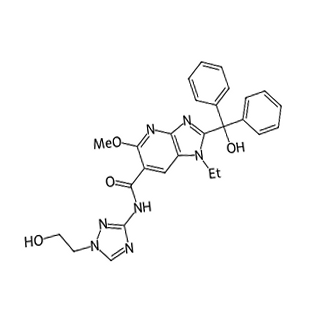 CCn1c(C(O)(c2ccccc2)c2ccccc2)nc2nc(OC)c(C(=O)Nc3ncn(CCO)n3)cc21